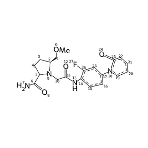 COC[C@@H]1C[CH]C(C(N)=O)N1CC(=O)Nc1ccc(-n2ccccc2=O)cc1F